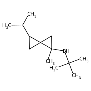 CC(C)C1CC12CC2(C)BC(C)(C)C